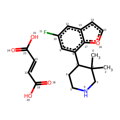 CC1(C)CNCCC1c1cc(F)cc2ccoc12.O=C(O)/C=C/C(=O)O